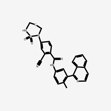 Cc1ccc(NC(=O)c2ccc(N3CCCNS3(=O)=O)cc2C#N)cc1-c1nccc2ccccc12